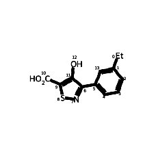 CCc1cccc(-c2nsc(C(=O)O)c2O)c1